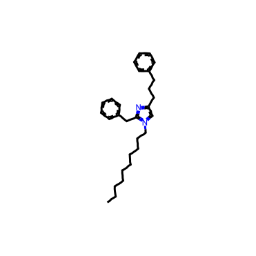 CCCCCCCCCCn1cc(CCCc2ccccc2)nc1Cc1ccccc1